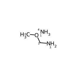 COCN.N